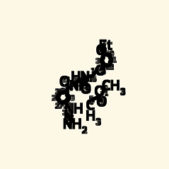 CCOC(=O)CC.CCOc1cccc(OCCNC(=O)CNC(=O)c2cccc(NC=NN)c2)c1